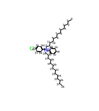 CCCCCCCCCCCCCC[N+](CCCCCCCCCCCCCC)(c1ccccc1)c1ccccc1.[Cl-]